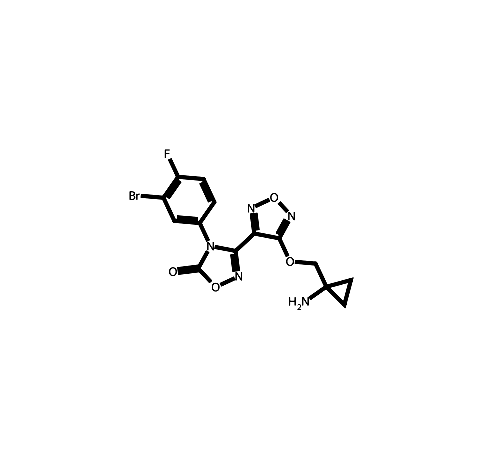 NC1(COc2nonc2-c2noc(=O)n2-c2ccc(F)c(Br)c2)CC1